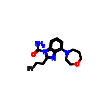 CC(C)CCc1nc2c(N3CCCOCC3)cccc2n1C(N)=O